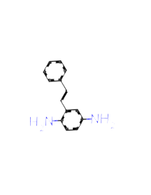 Nc1ccc(N)c(C=Cc2ccccc2)c1